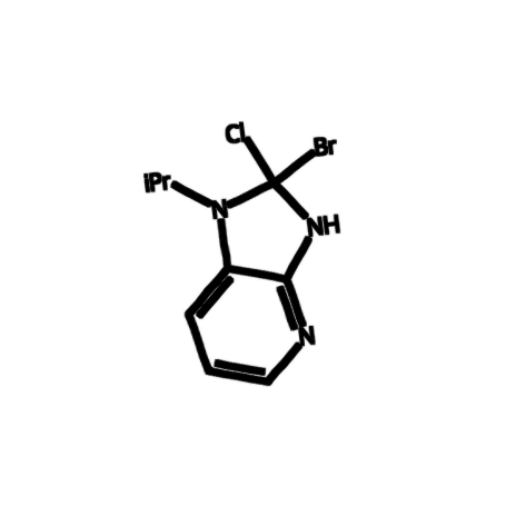 CC(C)N1c2cccnc2NC1(Cl)Br